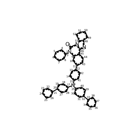 O=c1n(-c2ccccc2)c2cc(-c3ccc(N(c4ccc(-c5ccccc5)cc4)c4ccc(-c5ccccc5)cc4)cc3)ccc2c2nc3ccccc3n12